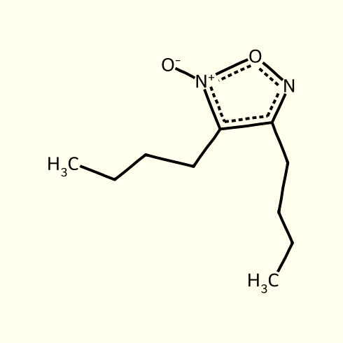 CCCCc1no[n+]([O-])c1CCCC